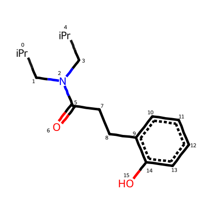 CC(C)CN(CC(C)C)C(=O)CCc1ccccc1O